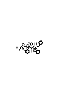 CN1Cc2ccccc2N(C(=O)NCc2nc3ccccc3n2CCc2ccccc2)[C@@H](CC(=O)O)C1=O